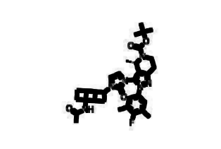 CC(=O)NC12C3C4C1C1C2C3C41n1ccn(-c2c3c(nn2-c2cc(C)c(F)c(C)c2)CCN(C(=O)OC(C)(C)C)[C@H]3C)c1=O